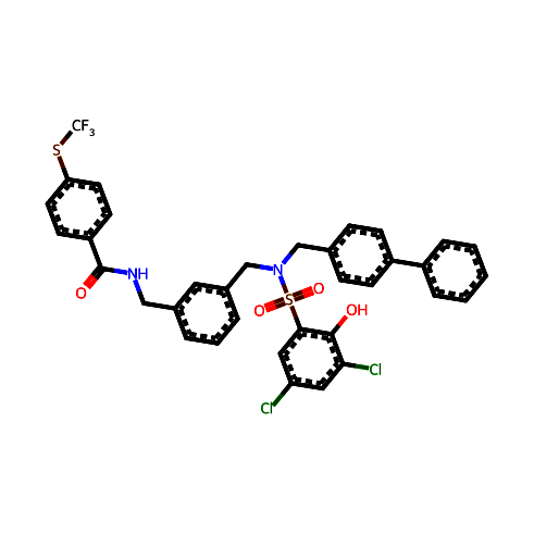 O=C(NCc1cccc(CN(Cc2ccc(-c3ccccc3)cc2)S(=O)(=O)c2cc(Cl)cc(Cl)c2O)c1)c1ccc(SC(F)(F)F)cc1